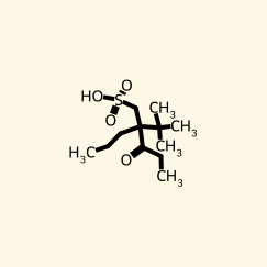 CCCC(CS(=O)(=O)O)(C(=O)CC)C(C)(C)C